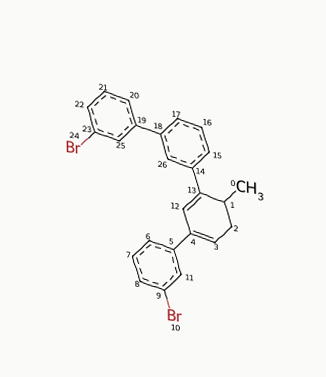 CC1CC=C(c2cccc(Br)c2)C=C1c1cccc(-c2cccc(Br)c2)c1